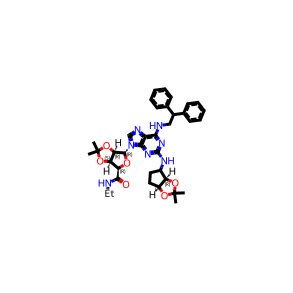 CCNC(=O)[C@@H]1O[C@@H](n2cnc3c(NCC(c4ccccc4)c4ccccc4)nc(NC4CC[C@@H]5OC(C)(C)O[C@H]45)nc32)[C@@H]2OC(C)(C)O[C@@H]21